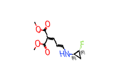 COC(=O)C(=CC=CN[C@@H]1C[C@H]1F)C(=O)OC